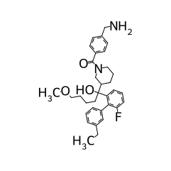 CCc1cccc(-c2c(F)cccc2C(O)(CCCCOC)C2CCCN(C(=O)c3ccc(CN)cc3)C2)c1